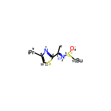 C/C(=N\[S+]([O-])C(C)(C)C)c1nc(C(C)C)cs1